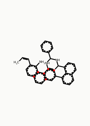 C/C=C\c1cccc(-c2ccc(-c3cccc4cccc(C5N=C(c6ccccc6)NC(c6ccccc6)N5)c34)cc2)c1N